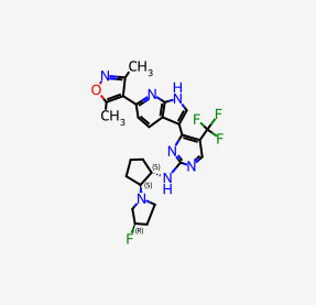 Cc1noc(C)c1-c1ccc2c(-c3nc(N[C@H]4CCC[C@@H]4N4CC[C@@H](F)C4)ncc3C(F)(F)F)c[nH]c2n1